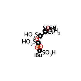 CCC(C)c1ccc(S(=O)(=O)c2ccc(Oc3ccc(-c4ccc(OC(C)(CC)CC)c(S(=O)(=O)O)c4)cc3S(=O)(=O)O)c(S(=O)(=O)O)c2)cc1S(=O)(=O)O